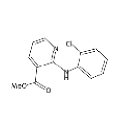 COC(=O)c1cccnc1Nc1ccccc1Cl